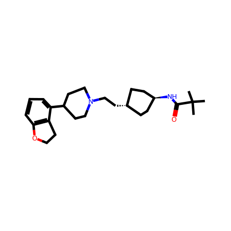 CC(C)(C)C(=O)N[C@H]1CC[C@H](CCN2CCC(c3cccc4c3CCO4)CC2)CC1